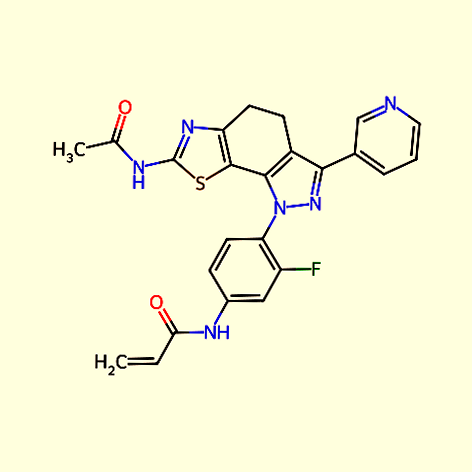 C=CC(=O)Nc1ccc(-n2nc(-c3cccnc3)c3c2-c2sc(NC(C)=O)nc2CC3)c(F)c1